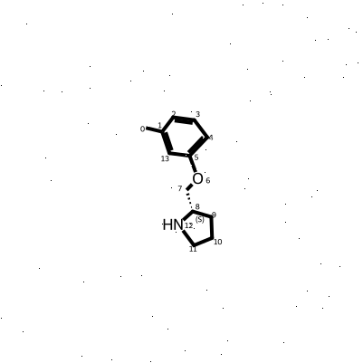 Cc1cccc(OC[C@@H]2CCCN2)c1